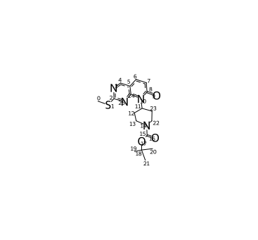 CSc1ncc2ccc(=O)n(C3CCN(C(=O)OC(C)(C)C)CC3)c2n1